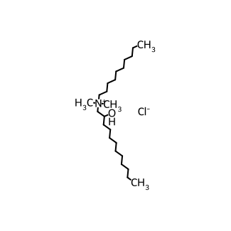 CCCCCCCCCCC(O)C[N+](C)(C)CCCCCCCCCC.[Cl-]